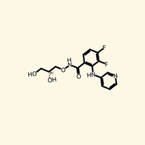 O=C(NOC[C@H](O)CO)c1ccc(F)c(F)c1Nc1cccnc1